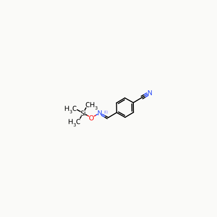 C[Si](C)(C)O/N=C/c1ccc(C#N)cc1